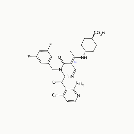 C/C(N[C@H]1CC[C@H](C(=O)O)CC1)=C(/C=N)C(=O)N(CC(=O)c1c(Cl)ccnc1N)Cc1cc(F)cc(F)c1